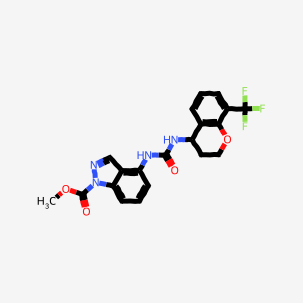 COC(=O)n1ncc2c(NC(=O)NC3CCOc4c3cccc4C(F)(F)F)cccc21